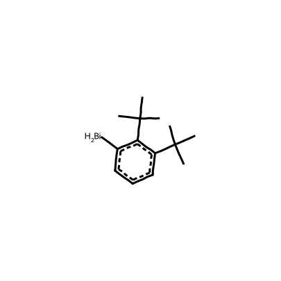 CC(C)(C)c1ccc[c]([BiH2])c1C(C)(C)C